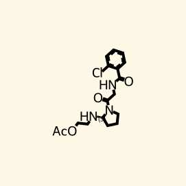 CC(=O)OCCN[C@@H]1CCCN1C(=O)CNC(=O)c1ccccc1Cl